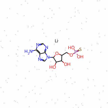 Nc1ncnc2c1ncn2C1OC(COP(O)(O)=S)C(O)C1O.[Li]